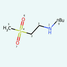 CCCCNCCS(C)(=O)=O